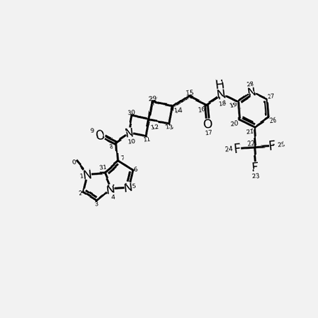 Cn1ccn2ncc(C(=O)N3CC4(CC(CC(=O)Nc5cc(C(F)(F)F)ccn5)C4)C3)c12